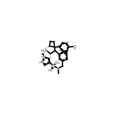 CN(Cc1cccc(C(CN)C2(c3ccc(Cl)cc3)CCC2)c1)S(=O)(=O)c1cnn(C)c1